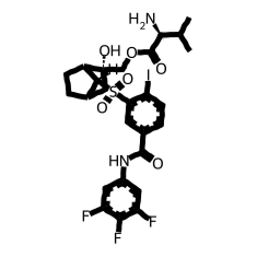 CC(C)[C@H](N)C(=O)OC[C@@]1(O)CC2CCC1[C@@H]2S(=O)(=O)c1cc(C(=O)Nc2cc(F)c(F)c(F)c2)ccc1I